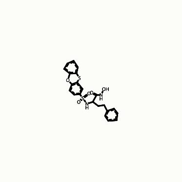 O=C(NO)C(CCc1ccccc1)NS(=O)(=O)c1ccc2c(c1)Sc1ccccc1O2